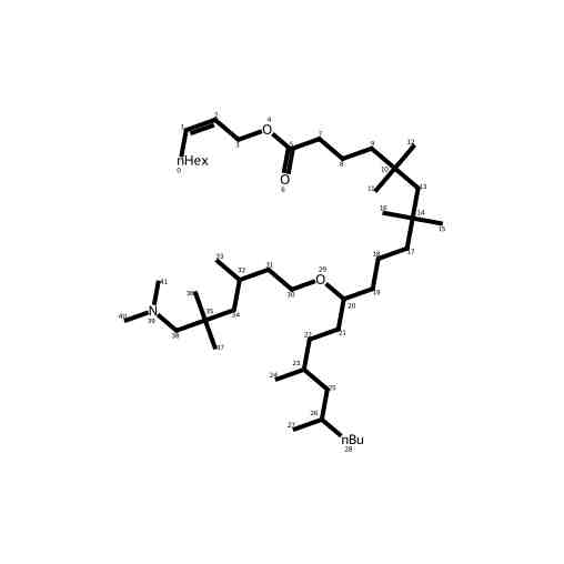 CCCCCC/C=C\COC(=O)CCCC(C)(C)CC(C)(C)CCCC(CCC(C)CC(C)CCCC)OCCC(C)CC(C)(C)CN(C)C